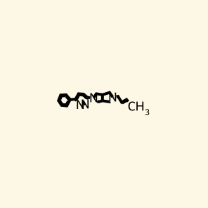 CC=CCN1CC2CN(c3ccc(-c4ccccc4)nn3)CC2C1